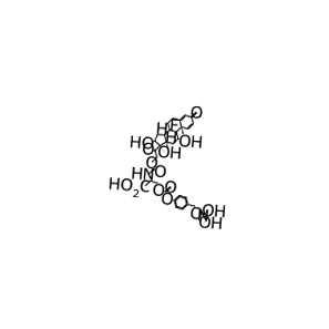 C[C@]12C=CC(=O)C=C1CC[C@H]1[C@@H]3C[C@@H](O)[C@](O)(C(=O)COC(=O)NC(COC(=O)Oc4ccc(CON(O)O)cc4)C(=O)O)[C@@]3(C)C[C@H](O)[C@@]12F